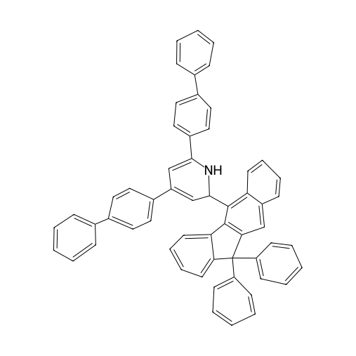 C1=C(c2ccc(-c3ccccc3)cc2)C=C(c2ccc(-c3ccccc3)cc2)NC1c1c2c(cc3ccccc13)C(c1ccccc1)(c1ccccc1)c1ccccc1-2